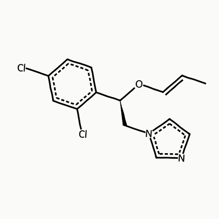 CC=CO[C@@H](Cn1ccnc1)c1ccc(Cl)cc1Cl